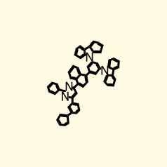 c1ccc(-c2cccc(-c3cc(-c4ccc(-c5cc(-n6c7ccccc7c7ccccc76)cc(-n6c7ccccc7c7ccccc76)c5)c5ccccc45)nc(-c4ccccc4)n3)c2)cc1